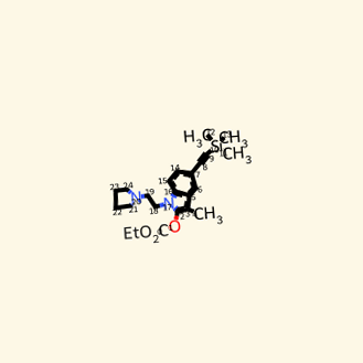 CCOC(=O)Oc1c(C)c2cc(C#C[Si](C)(C)C)ccc2n1CCN1CCCC1